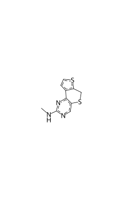 CNc1ncc2c(n1)-c1ccsc1CS2